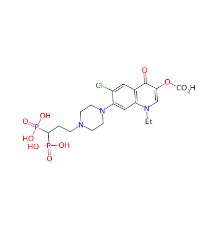 CCn1cc(OC(=O)O)c(=O)c2cc(Cl)c(N3CCN(CCC(P(=O)(O)O)P(=O)(O)O)CC3)cc21